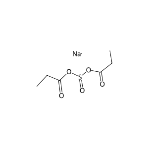 CCC(=O)OS(=O)OC(=O)CC.[Na]